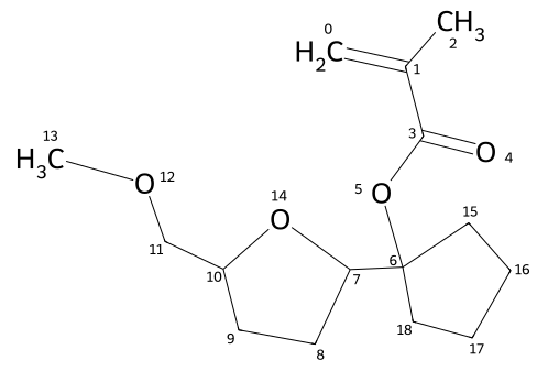 C=C(C)C(=O)OC1(C2CCC(COC)O2)CCCC1